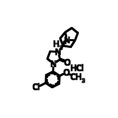 COc1ccc(Cl)cc1N1CCN(C2CC3CCC(C2)N3C)C1=O.Cl